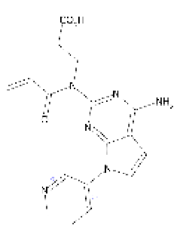 C=CC(=O)N(CCC(=O)O)c1nc(N)c2ccn(C(/C=N\C)=C/C)c2n1